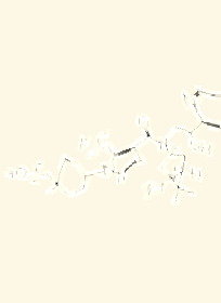 CC1(C(=O)O)CCC(n2ncc(C(=O)N(CC(O)c3ccccn3)[C@H]3C[C@@H]4[C@H](C3)C4(C)C)c2C(F)(F)F)CC1